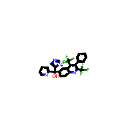 Cn1cncc1C(O)(c1ccc2nc(C(F)(F)F)c(-c3ccccc3)c(C(F)(F)F)c2c1)c1ccccn1